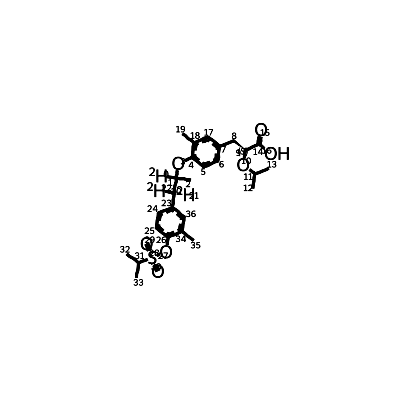 [2H]C(C)(Oc1ccc(C[C@H](OC(C)C)C(=O)O)cc1C)C([2H])([2H])c1ccc(OS(=O)(=O)C(C)C)c(C)c1